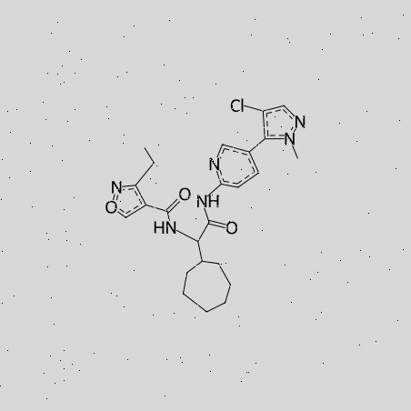 CCc1nocc1C(=O)NC(C(=O)Nc1ccc(-c2c(Cl)cnn2C)cn1)C1CCCCCC1